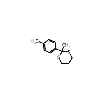 Cc1ccc(C2(C)SCCCS2)cc1